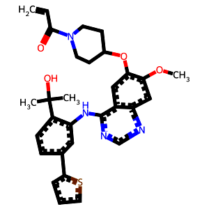 C=CC(=O)N1CCC(Oc2cc3c(Nc4cc(-c5cccs5)ccc4C(C)(C)O)ncnc3cc2OC)CC1